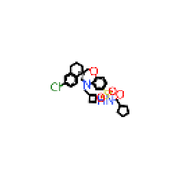 O=C(NS(=O)(=O)c1ccc2c(c1)N(CC1CCC1)C[C@@]1(CCCc3cc(Cl)ccc31)CO2)C1CCCC1